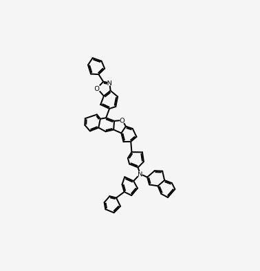 c1ccc(-c2ccc(N(c3ccc(-c4ccc5oc6c(-c7ccc8nc(-c9ccccc9)oc8c7)c7ccccc7cc6c5c4)cc3)c3ccc4ccccc4c3)cc2)cc1